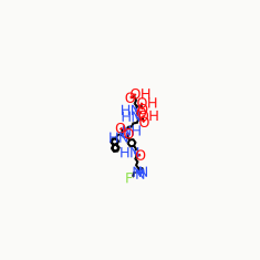 O=C(O)CCC(NC(=O)NC(CCCCNC(=O)C(Cc1ccc2ccccc2c1)NC(=O)C1CCC(CNC(=O)CCCc2cnnn2CCF)CC1)C(=O)O)C(=O)O